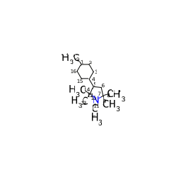 CC1CCC(C2CC(C)(C)N(C)C2(C)C)CC1